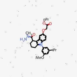 CCCOC(=O)COc1ccc2c(c1)c1c(n2-c2cc(OC)cc(C(C)C)c2)CCCC1C(=O)N(C)N